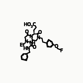 CCN1CC(=O)N2[C@@H](CCC(=O)O)C(=O)N(CCc3ccc(OCF)cc3)C[C@@H]2N1C(=O)NCc1ccccc1